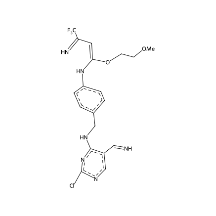 COCCO/C(=C/C(=N)C(F)(F)F)Nc1ccc(CNc2nc(Cl)ncc2C=N)cc1